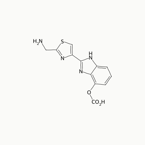 NCc1nc(-c2nc3c(OC(=O)O)cccc3[nH]2)cs1